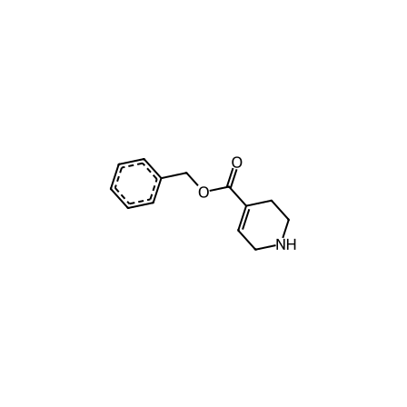 O=C(OCc1ccccc1)C1=CCNCC1